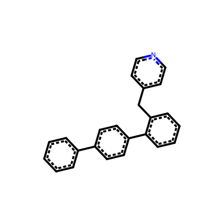 c1ccc(-c2ccc(-c3ccccc3Cc3ccncc3)cc2)cc1